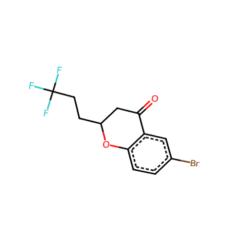 O=C1CC(CCC(F)(F)F)Oc2ccc(Br)cc21